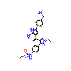 C=Nc1[nH]c(-c2ccc(CN(C)C)cc2)cc1C(=C)c1cn(CC)nc1-c1ccc(NC(=O)NCC)cc1